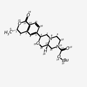 C[C@H]1Cc2cc(C3CN4CCN(C(=O)OC(C)(C)C)C[C@@H]4CO3)ccc2C(=O)O1